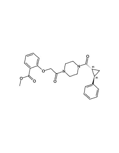 COC(=O)c1ccccc1OCC(=O)N1CCN(C(=O)[C@@H]2C[C@H]2c2ccccc2)CC1